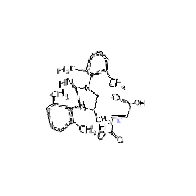 Cc1cccc(C)c1N1CC(C)N(c2c(C)cccc2C)C1=N.O=C(O)/C=C/C(=O)O